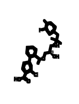 Cc1ccc(CC(C)(C)NC[C@H](O)COC(C)c2ccccc2-c2ccc(C(=O)O)c(Cl)c2)cc1F